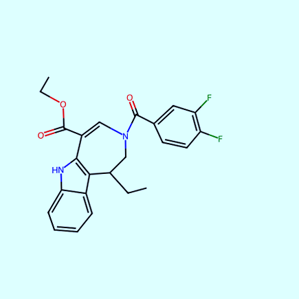 CCOC(=O)C1=CN(C(=O)c2ccc(F)c(F)c2)CC(CC)c2c1[nH]c1ccccc21